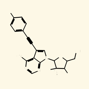 C[C@@]1(O)C(O)C(CO)OC1n1cc(C#Cc2ccc(F)cc2)c2c(N)ncnc21